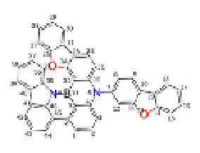 c1cc2c3c(c1)N(c1ccc4c(c1)oc1ccccc14)c1ccc4c(oc5ccccc54)c1B3n1c3ccccc3c3cccc-2c31